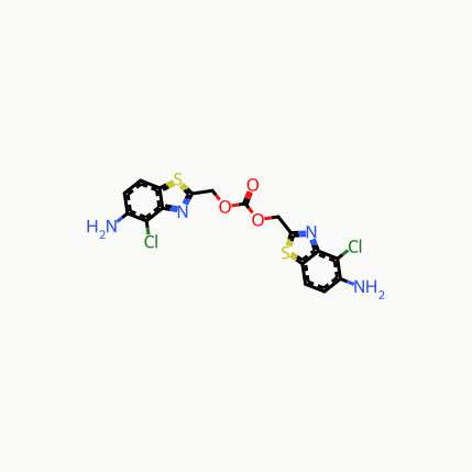 Nc1ccc2sc(COC(=O)OCc3nc4c(Cl)c(N)ccc4s3)nc2c1Cl